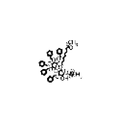 COC(=O)CCCCCCCCO[C@H]1O[C@H](COS(C)(=O)=O)[C@@H](O)[C@H](OCc2ccccc2)[C@H]1O[C@H]1O[C@H](COCc2ccccc2)[C@@H](OCc2ccccc2)[C@H](OCc2ccccc2)[C@H]1OCc1ccccc1